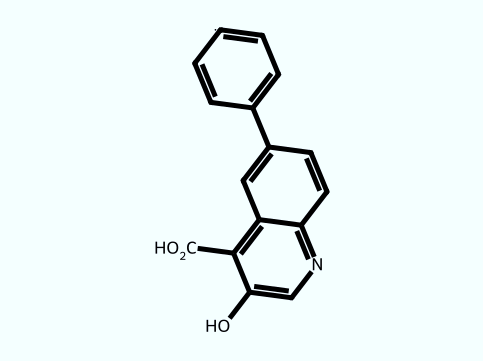 O=C(O)c1c(O)cnc2ccc(-c3cc[c]cc3)cc12